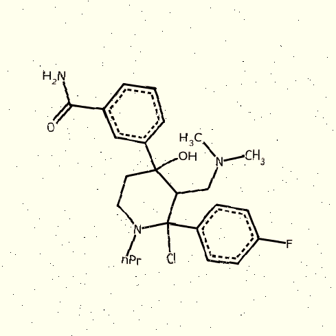 CCCN1CCC(O)(c2cccc(C(N)=O)c2)C(CN(C)C)C1(Cl)c1ccc(F)cc1